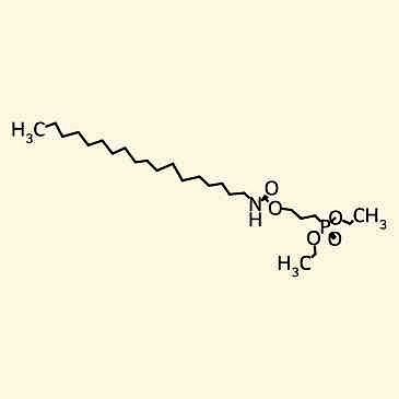 CCCCCCCCCCCCCCCCCCNC(=O)OCCCP(=O)(OCC)OCC